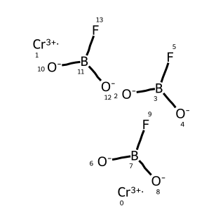 [Cr+3].[Cr+3].[O-]B([O-])F.[O-]B([O-])F.[O-]B([O-])F